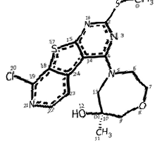 CSc1nc(N2CCOC[C@@](C)(O)C2)c2c(n1)sc1c(Cl)nccc12